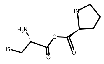 N[C@@H](CS)C(=O)OC(=O)[C@@H]1CCCN1